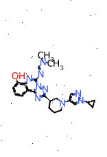 CN(C)/C=N/c1nc2c(O)cccc2c2nc([C@@H]3CCCN(c4cnn(C5CC5)c4)C3)nn12